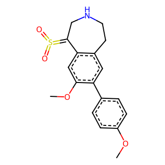 COc1ccc(-c2cc3c(cc2OC)C(=S(=O)=O)CNCC3)cc1